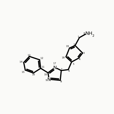 NCc1ccc(CC2C=NC(c3ccccc3)=N2)cc1